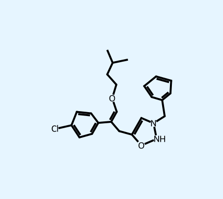 CC(C)CCOC=C(CC1=CN(Cc2ccccc2)NO1)c1ccc(Cl)cc1